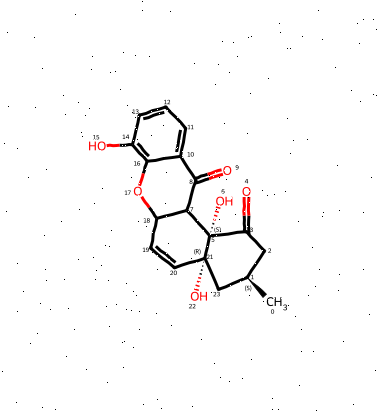 C[C@@H]1CC(=O)[C@]2(O)C3C(=O)c4cccc(O)c4OC3C=C[C@]2(O)C1